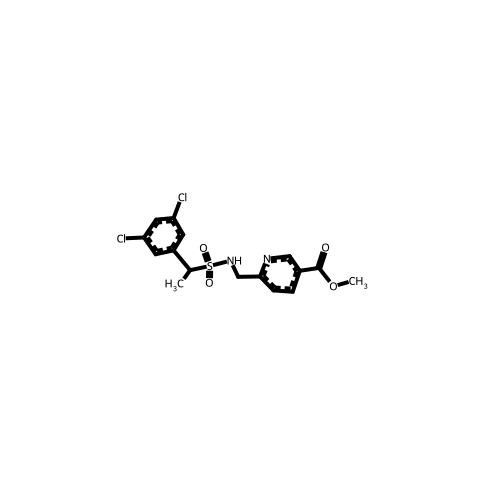 COC(=O)c1ccc(CNS(=O)(=O)C(C)c2cc(Cl)cc(Cl)c2)nc1